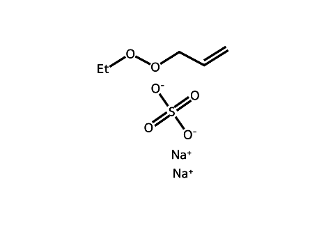 C=CCOOCC.O=S(=O)([O-])[O-].[Na+].[Na+]